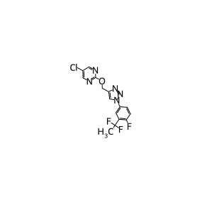 CC(F)(F)c1cc(-n2cc(COc3ncc(Cl)cn3)nn2)ccc1F